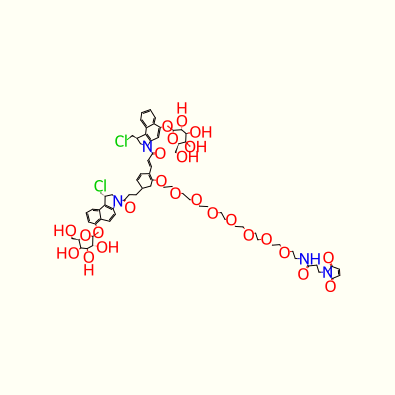 O=C(CCN1C(=O)C=CC1=O)NCCOCCOCCOCCOCCOCCOCCOCCOC1=C(/C=C/C(=O)N2C[C@@H](CCl)c3c2cc(O[C@@H]2O[C@H](CO)[C@H](O)[C@H](O)[C@H]2O)c2ccccc32)C=CC(CCC(=O)N2C[C@@H](CCl)c3c2ccc2c(O[C@@H]4O[C@H](CO)[C@H](O)[C@H](O)[C@H]4O)cccc32)C1